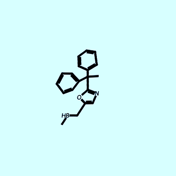 CBCc1cnc(C(C)(c2ccccc2)c2ccccc2)o1